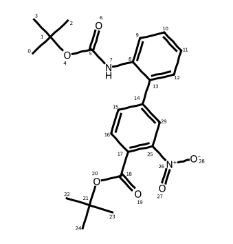 CC(C)(C)OC(=O)Nc1ccccc1-c1ccc(C(=O)OC(C)(C)C)c([N+](=O)[O-])c1